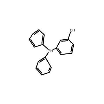 Oc1cccc([SH](c2ccccc2)c2ccccc2)c1